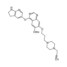 C#CCN1CCN(CCCOc2cc3ncnc(Oc4cnc5c(c4)CCN5)c3cc2OC)CC1